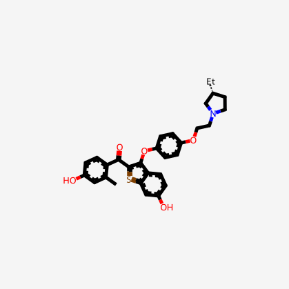 CC[C@@H]1CCN(CCOc2ccc(Oc3c(C(=O)c4ccc(O)cc4C)sc4cc(O)ccc34)cc2)C1